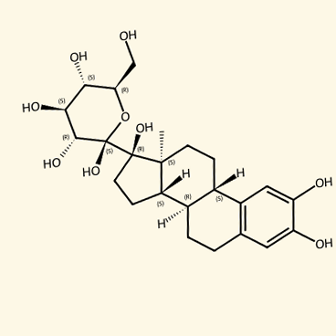 C[C@]12CC[C@@H]3c4cc(O)c(O)cc4CC[C@H]3[C@@H]1CC[C@]2(O)[C@@]1(O)O[C@H](CO)[C@@H](O)[C@H](O)[C@H]1O